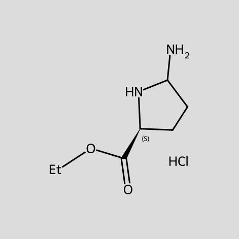 CCOC(=O)[C@@H]1CCC(N)N1.Cl